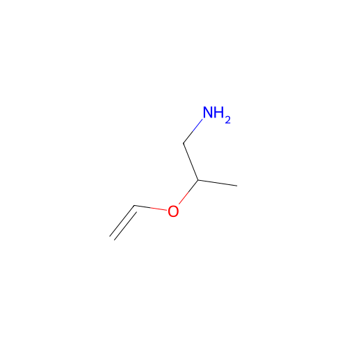 C=COC(C)CN